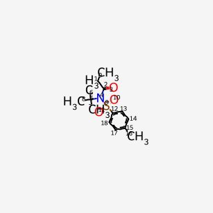 CCC(=O)N(C(C)(C)C)S(=O)(=O)c1ccc(C)cc1